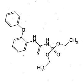 CCOP(=O)(NC(=S)Nc1ccccc1Oc1ccccc1)OCC